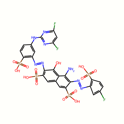 Nc1c(/N=N/c2cc(F)ccc2S(=O)(=O)O)c(S(=O)(=O)O)cc2cc(S(=O)(=O)O)c(/N=N/c3cc(Nc4nc(F)cc(F)n4)ccc3S(=O)(=O)O)c(O)c12